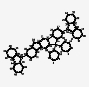 c1ccc(C2(c3ccccc3)c3cc(-n4c5ccccc5c5ccccc54)ccc3-c3cc4sc5cc(-n6c7ccccc7c7ccccc76)ccc5c4cc32)cc1